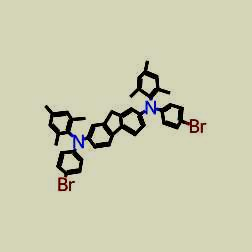 Cc1cc(C)c(N(c2ccc(Br)cc2)c2ccc3c(c2)Cc2cc(N(c4ccc(Br)cc4)c4c(C)cc(C)cc4C)ccc2-3)c(C)c1